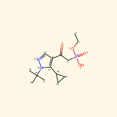 CCOP(=O)(O)CC(=O)c1cnn(C(C)(C)C)c1C1CC1